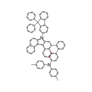 Cc1ccc(N(c2ccc(C)cc2)c2ccc(-c3ccccc3-c3cc4c(c5ccccc35)c3c5ccccc5ccc3n4-c3ccc4c(c3)C(c3ccccc3)(c3ccccc3)c3ccccc3-4)cc2)cc1